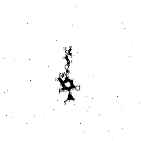 C[C@@H]1C[C@@H]1c1c(Cl)cc2c(cnn2COCC[Si](C)(C)C)c1F